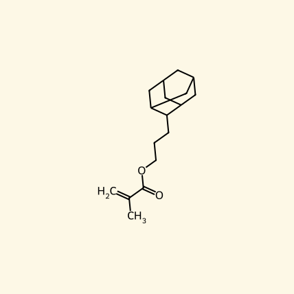 C=C(C)C(=O)OCCCC1C2CC3CC(C2)CC1C3